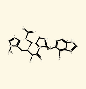 CCC(=O)OC[C@H](Cc1cncn1C)[C@H](CC)C(=O)N1CCN=C1Nc1ccc2[nH]cnc2c1Br